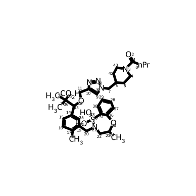 CCCC(=O)N1CCC(Cn2cc(COC(c3ccc(C)c(CN4CC(C)Oc5ccccc5S4(O)O)c3)C(C)(C)C(=O)O)nn2)CC1